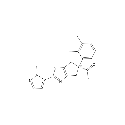 CC(=O)[C@]1(c2cccc(C)c2C)Cc2nc(-c3ccnn3C)sc2C1